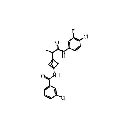 CC(C(=O)Nc1ccc(Cl)c(F)c1)C12CC(NC(=O)c3cccc(Cl)c3)(C1)C2